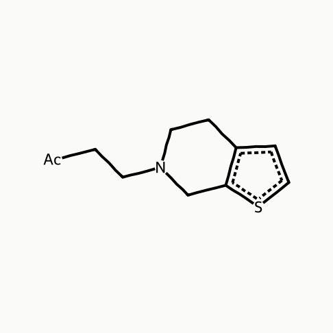 CC(=O)CCN1CCc2ccsc2C1